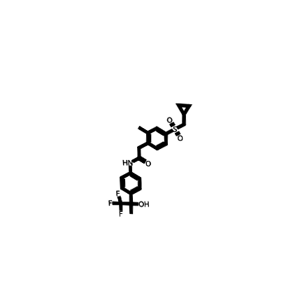 Cc1cc(S(=O)(=O)CC2CC2)ccc1CC(=O)Nc1ccc(C(C)(O)C(F)(F)F)cc1